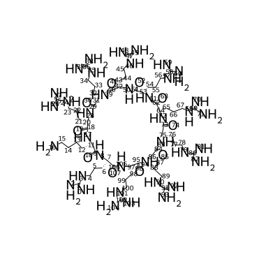 N=C(N)NCCC[C@@H]1NC(=O)[C@H](CCCCN)NC(=O)[C@H](CCCNC(=N)N)NC(=O)[C@H](CCCNC(=N)N)NC(=O)[C@H](CCCNC(=N)N)NC(=O)[C@H](CCCNC(=N)N)NC(=O)[C@H](CCCNC(=N)N)NC(=O)[C@H](CCCNC(=N)N)NC(=O)[C@H](CCCNC(=N)N)NC(=O)[C@H](CCCNC(=N)N)NC1=O